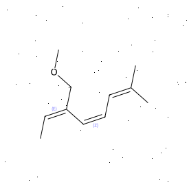 C/C=C(\C=C/C=C(C)C)COC